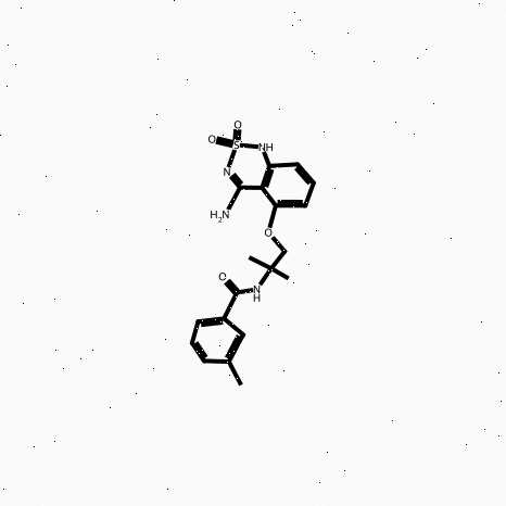 Cc1cccc(C(=O)NC(C)(C)COc2cccc3c2C(N)=NS(=O)(=O)N3)c1